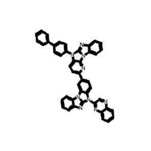 c1ccc(-c2ccc(-n3c4ccc(-c5ccc6c(c5)n5c7ccccc7nc5n6-c5cnc6ccccc6n5)nc4n4c5ccccc5nc34)cc2)cc1